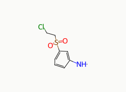 [NH]c1cccc(S(=O)(=O)CCCl)c1